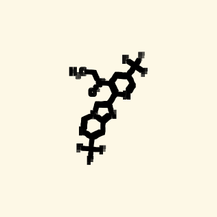 CC[S+]([O-])c1cc(C(F)(F)F)cnc1-c1cn2cnc(C(F)(F)F)cc2n1